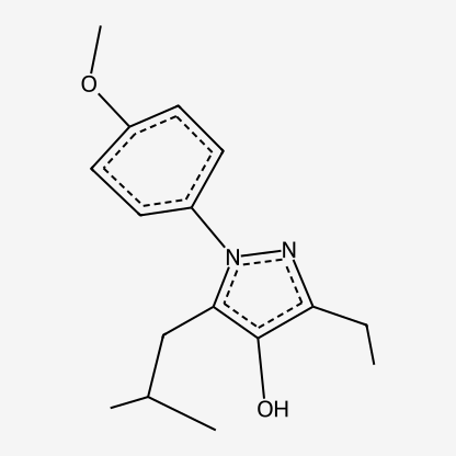 CCc1nn(-c2ccc(OC)cc2)c(CC(C)C)c1O